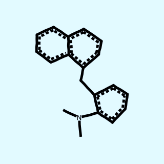 CN(C)c1ccccc1Cc1cccc2ccccc12